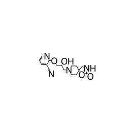 N#Cc1cccnc1OCC(O)CN1CCC2(CC1)CNC(=O)O2